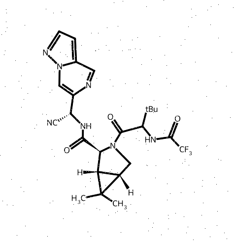 CC(C)(C)C(NC(=O)C(F)(F)F)C(=O)N1C[C@H]2[C@@H]([C@H]1C(=O)N[C@H](C#N)c1cn3nccc3cn1)C2(C)C